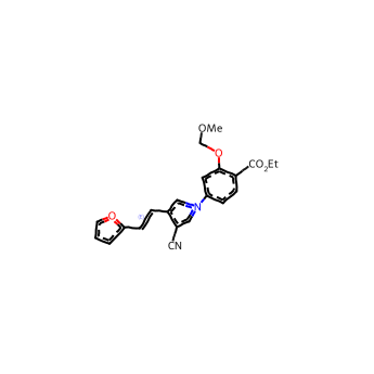 CCOC(=O)c1ccc(-n2cc(C#N)c(/C=C/c3ccco3)c2)cc1OCOC